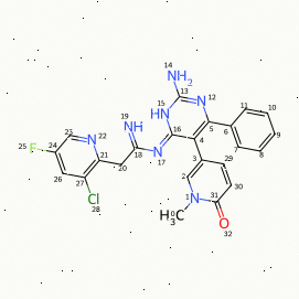 Cn1cc(-c2c(-c3ccccc3)nc(N)[nH]/c2=N\C(=N)Cc2ncc(F)cc2Cl)ccc1=O